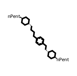 CCCCC[C@H]1CC[C@H](CCCCc2ccc(CC[C@H]3CC[C@H](CCCCC)CC3)cc2)CC1